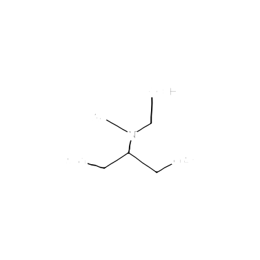 CC(=O)OCC(COC(C)=O)N(CC(=O)O)C(C)=O